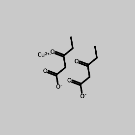 CCC(=O)CC(=O)[O-].CCC(=O)CC(=O)[O-].[Cu+2]